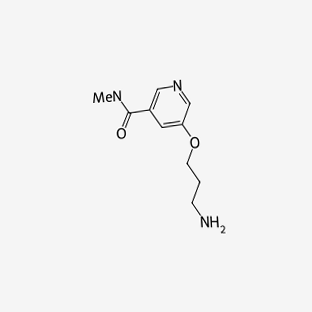 CNC(=O)c1cncc(OCCCN)c1